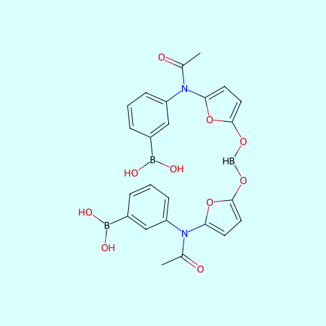 CC(=O)N(c1cccc(B(O)O)c1)c1ccc(OBOc2ccc(N(C(C)=O)c3cccc(B(O)O)c3)o2)o1